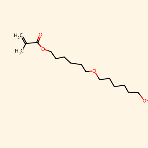 C=C(C)C(=O)OCCCCCCOCCCCCCO